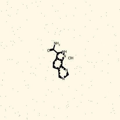 Cl.NC(=O)c1[nH]nc2c1ccc1cncnc12